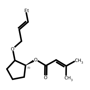 CCC=CCOC1CCC[C@@H]1OC(=O)C=C(C)C